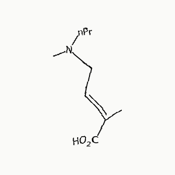 CCCN(C)CC=C(C)C(=O)O